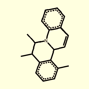 Cc1cccc2c1C1C=Cc3ccccc3N1C(C)C2C